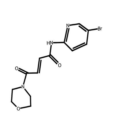 O=C(C=CC(=O)N1CCOCC1)Nc1ccc(Br)cn1